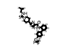 C=C(C)CNC(=S)N1CCC(c2nc(C(=O)Nc3ccccc3-c3ccc(OC(F)(F)F)cc3)cs2)CC1